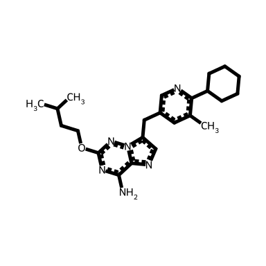 Cc1cc(Cc2cnc3c(N)nc(OCCC(C)C)nn23)cnc1C1CCCCC1